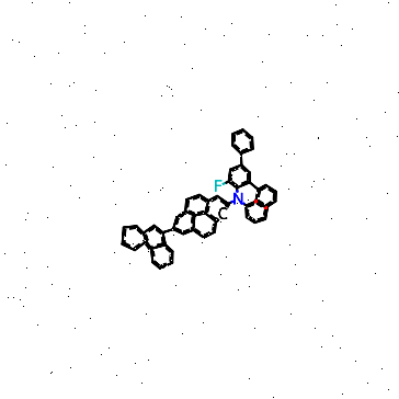 Fc1cc(-c2ccccc2)cc(-c2ccccc2)c1N(c1ccccc1)c1cc2ccc3cc(-c4cc5ccccc5c5ccccc45)cc4ccc(c1)c2c34